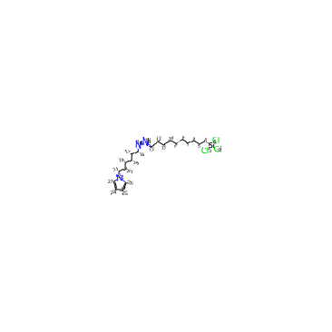 Cl[Si](Cl)(Cl)CCCCCCCCCC/N=N\CCCCCCn1cccc1